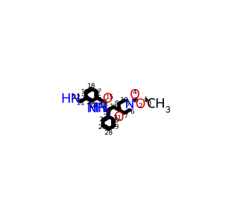 CCOC(=O)N1CCC2(CC1)CC(NC(=O)c1cccc(C=N)c1N)c1ccccc1O2